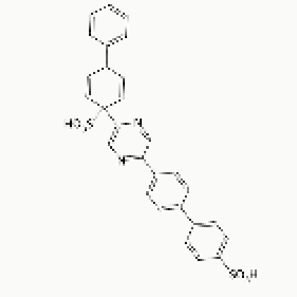 O=S(=O)(O)c1ccc(-c2ccc(-c3cnc(C4(S(=O)(=O)O)C=CC(c5ccccc5)C=C4)cn3)cc2)cc1